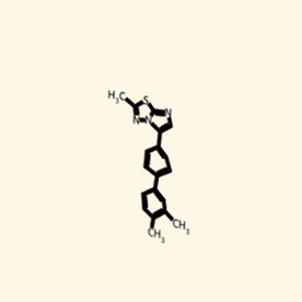 Cc1nn2c(-c3ccc(-c4ccc(C)c(C)c4)cc3)cnc2s1